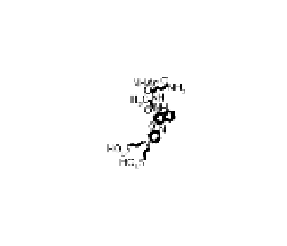 CC(=O)NC(CC(N)=O)C(=O)N[C@H](C)C(=O)Nc1cc2oc3cc(=[N+](CCCS(=O)(=O)O)CCCS(=O)(=O)O)ccc-3nc2c2ccccc12